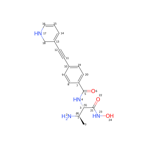 C[C@@H](N)[C@H](NC(=O)c1ccc(C#CC2=CC=CNC2)cc1)C(=O)NO